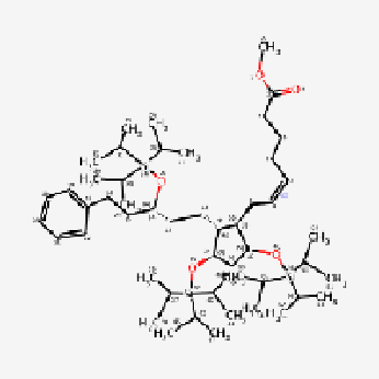 COC(=O)CCC/C=C\C[C@@H]1[C@@H](CC[C@H](CCc2ccccc2)O[Si](C(C)C)(C(C)C)C(C)C)[C@H](O[Si](C(C)C)(C(C)C)C(C)C)C[C@@H]1O[Si](C(C)C)(C(C)C)C(C)C